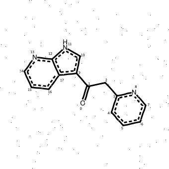 O=C(Cc1ccccn1)c1c[nH]c2ncccc12